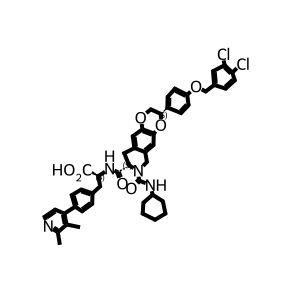 Cc1nccc(-c2ccc(C[C@H](NC(=O)[C@@H]3Cc4cc5c(cc4CN3C(=O)NC3CCCCC3)O[C@@H](c3ccc(OCc4ccc(Cl)c(Cl)c4)cc3)CO5)C(=O)O)cc2)c1C